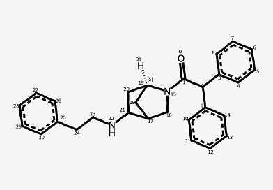 O=C(C(c1ccccc1)c1ccccc1)N1CC2C[C@H]1CC2NCCc1ccccc1